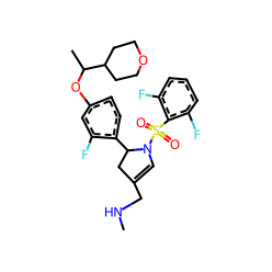 CNCC1=CN(S(=O)(=O)c2c(F)cccc2F)C(c2ccc(OC(C)C3CCOCC3)cc2F)C1